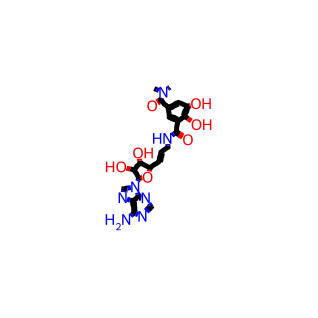 CN(C)C(=O)c1cc(O)c(O)c(C(=O)NC/C=C/C2OC(n3cnc4c(N)ncnc43)C(O)C2O)c1